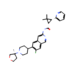 CC1(C)[C@@H](C(=O)Nc2cc3cc(C4CCN([C@@]5(C)COC[C@H]5O)CC4)c(Cl)cc3cn2)[C@@H]1c1ccccn1